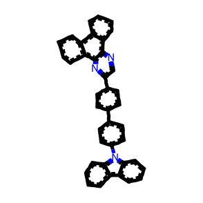 c1ccc2c(c1)c1ccccc1c1nc(-c3ccc(-c4ccc(-n5c6ccccc6c6ccccc65)cc4)cc3)cnc21